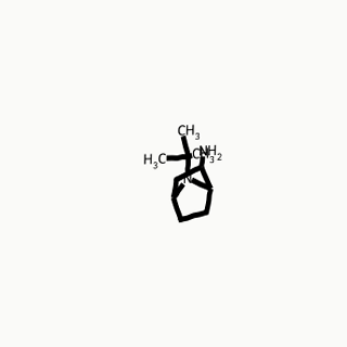 CC(C)(C)N1C2CCC1C(N)C2